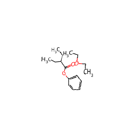 CCC(CC)C(=O)Oc1ccccc1.CCOCC